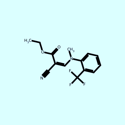 CCOC(=O)C(C#N)=CN(C)c1ccccc1C(F)(F)F